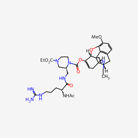 CCOC(=O)N1CCN(C(=O)OC2=CC[C@H]3[C@H]4Cc5ccc(OC)c6c5[C@@]3(CCN4C)[C@H]2O6)[C@@H](CNC(=O)[C@H](CCCNC(=N)N)NC(C)=O)C1